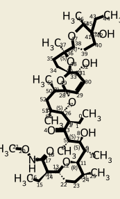 CC[C@@H](C(=O)[C@@H](C)[C@@H](O)[C@H](C)[C@@H]1O[C@@H]([C@@H](CC)C(=O)NOC)CC[C@@H]1C)[C@H]1O[C@]2(C=C[C@@H](O)[C@]3(CC[C@@](C)([C@H]4CC[C@](O)(CC)[C@H](C)O4)O3)O2)[C@H](C)C[C@@H]1C